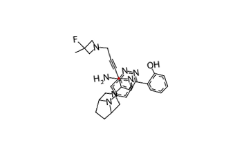 CC1(F)CN(CC#Cc2cc(N3C4CCC3CN(c3cc(-c5ccccc5O)nnc3N)C4)ccn2)C1